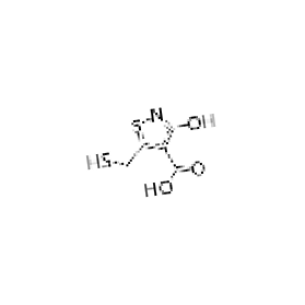 O=C(O)c1c(O)nsc1CS